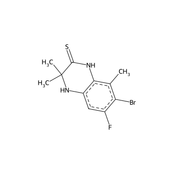 Cc1c(Br)c(F)cc2c1NC(=S)C(C)(C)N2